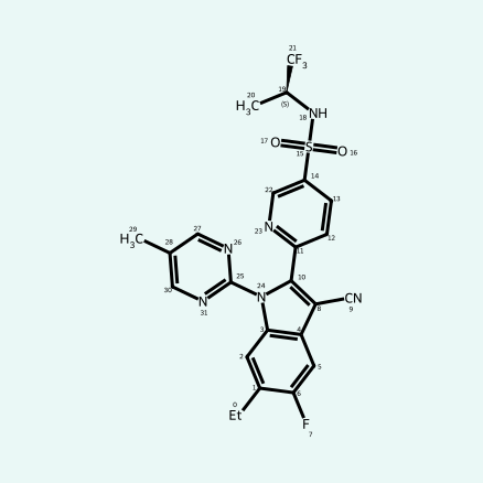 CCc1cc2c(cc1F)c(C#N)c(-c1ccc(S(=O)(=O)N[C@@H](C)C(F)(F)F)cn1)n2-c1ncc(C)cn1